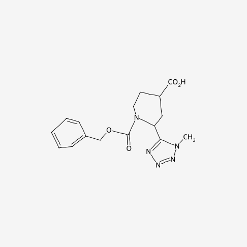 Cn1nnnc1C1CC(C(=O)O)CCN1C(=O)OCc1ccccc1